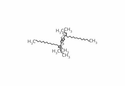 CCCCCCCCCCCCCCc1cc(C(C)C)sc1-c1cc2sc(-c3sc(C(C)(C)CCC)cc3CCCCCCCCCCCCCC)cc2s1